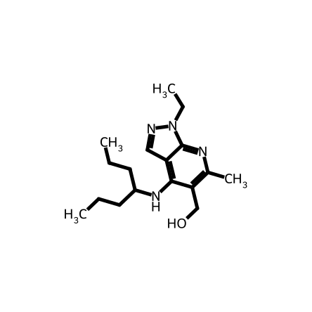 CCCC(CCC)Nc1c(CO)c(C)nc2c1cnn2CC